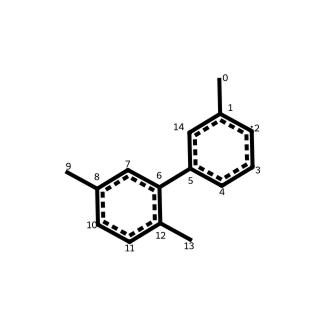 Cc1[c]ccc(-c2cc(C)ccc2C)c1